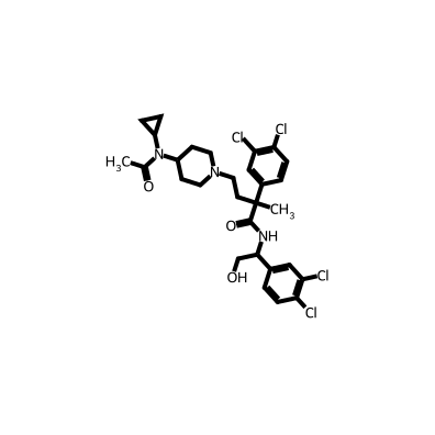 CC(=O)N(C1CC1)C1CCN(CCC(C)(C(=O)NC(CO)c2ccc(Cl)c(Cl)c2)c2ccc(Cl)c(Cl)c2)CC1